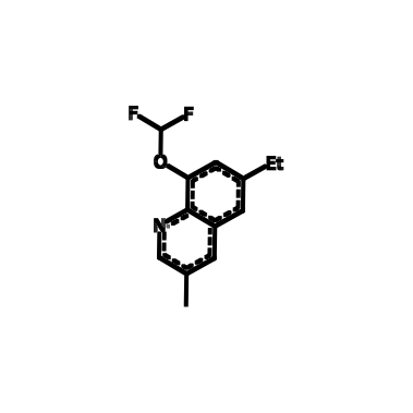 CCc1cc(OC(F)F)c2ncc(C)cc2c1